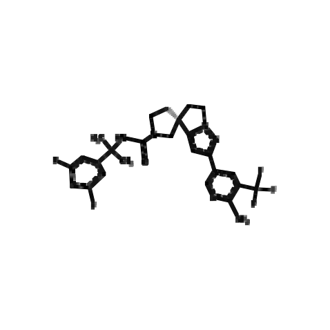 CC(C)(NC(=O)N1CC[C@@]2(CCn3nc(-c4cnc(N)c(C(F)(F)F)c4)cc32)C1)c1cc(F)cc(F)c1